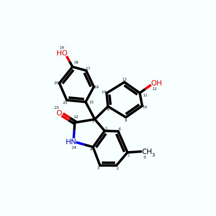 Cc1ccc2c(c1)C(c1ccc(O)cc1)(c1ccc(O)cc1)C(=O)N2